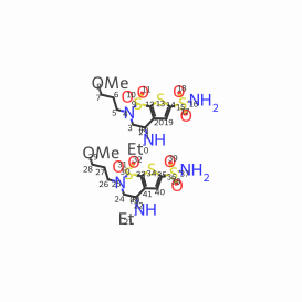 CCN[C@H]1CN(CCCOC)S(=O)(=O)c2sc(S(N)(=O)=O)cc21.CCN[C@H]1CN(CCCOC)S(=O)(=O)c2sc(S(N)(=O)=O)cc21